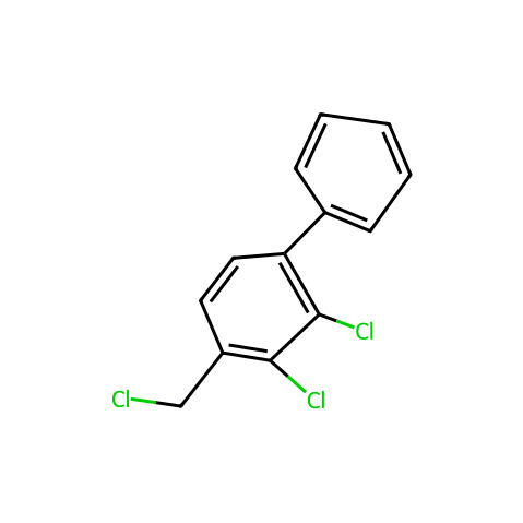 ClCc1ccc(-c2ccccc2)c(Cl)c1Cl